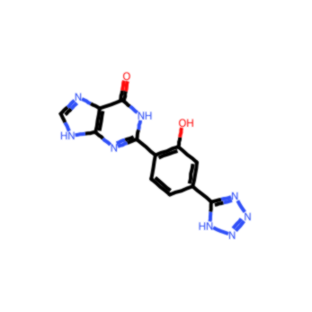 O=c1[nH]c(-c2ccc(-c3nnn[nH]3)cc2O)nc2[nH]cnc12